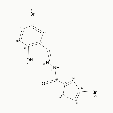 O=C(N/N=C/c1cc(Br)ccc1O)c1cc(Br)co1